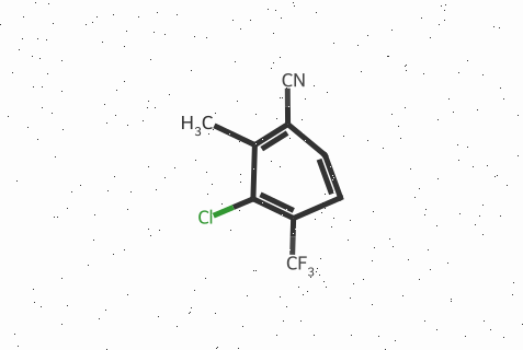 Cc1c(C#N)ccc(C(F)(F)F)c1Cl